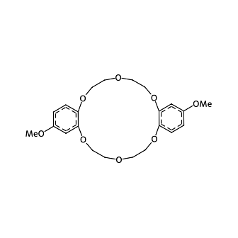 COc1ccc2c(c1)OCCOCCOc1ccc(OC)cc1OCCOCCO2